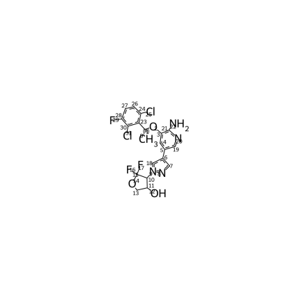 C[C@@H](Oc1cc(-c2cnn(C3C(O)COC3(F)F)c2)cnc1N)c1c(Cl)ccc(F)c1Cl